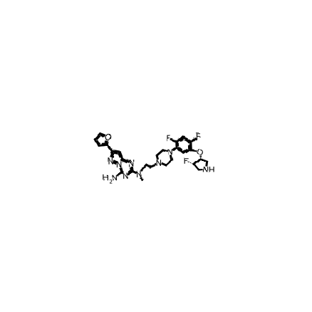 CN(CCN1CCN(c2cc(O[C@@H]3CNC[C@@H]3F)c(F)cc2F)CC1)c1nc(N)n2nc(-c3ccco3)cc2n1